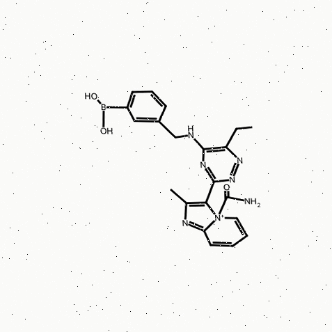 CCc1nnc(C2=C(C)N=C3C=CC=C[N+]32C(N)=O)nc1NCc1cccc(B(O)O)c1